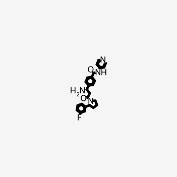 N[C@@H](CC(=O)N1CCCC1c1cccc(F)c1)c1ccc(C(=O)Nc2ccncc2)cc1